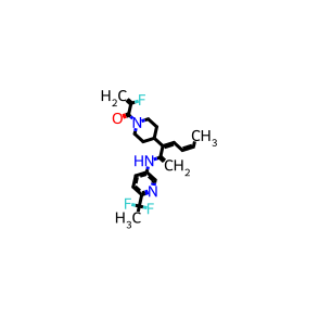 C=C(F)C(=O)N1CCC(/C(=C/C=C\C)C(=C)Nc2ccc(C(C)(F)F)nc2)CC1